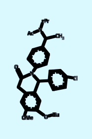 CCCN(C(C)=O)C(C)c1ccc(N2C(=O)Cc3cc(OC)c(OC(C)CC)cc3C2c2ccc(Cl)cc2)cc1